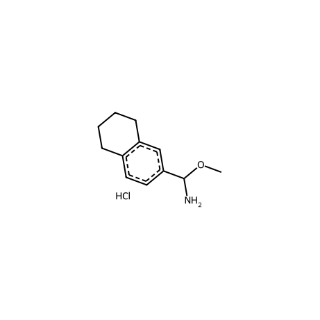 COC(N)c1ccc2c(c1)CCCC2.Cl